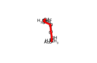 CC(=O)OCC[N+](C)(C)CC(=O)OCC(O)CCCCCCCCC(=O)OCCCCCCCCCCOC(=O)CCCCCCCCC(O)COC(=O)C[N+](C)(C)CCOC(C)=O